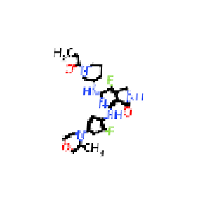 C=CC(=O)N1CCC[C@@H](Nc2nc(Nc3ccc(N4CCOC[C@@H]4C)cc3F)c3c(c2F)CNC3=O)C1